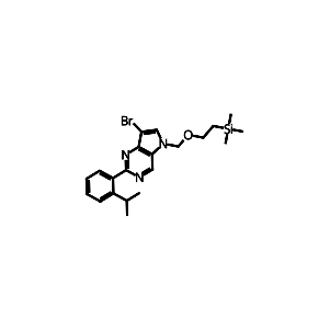 CC(C)c1ccccc1-c1ncc2c(n1)c(Br)cn2COCC[Si](C)(C)C